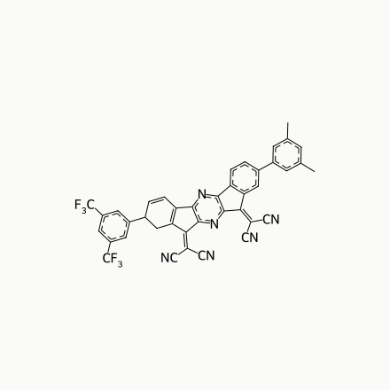 Cc1cc(C)cc(-c2ccc3c(c2)C(=C(C#N)C#N)c2nc4c(nc2-3)C2=C(CC(c3cc(C(F)(F)F)cc(C(F)(F)F)c3)C=C2)C4=C(C#N)C#N)c1